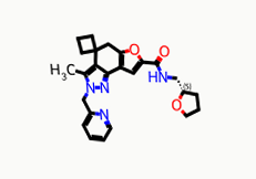 Cc1c2c(nn1Cc1ccccn1)-c1cc(C(=O)NC[C@@H]3CCCO3)oc1CC21CCC1